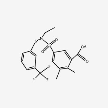 CCN(Sc1cccc(C(F)(F)F)c1)S(=O)(=O)c1cc(C)c(C)c(C(=O)O)c1